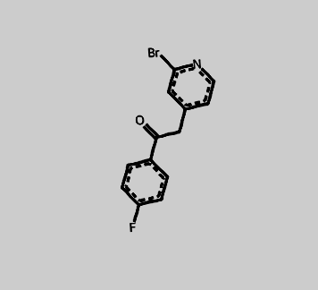 O=C(Cc1ccnc(Br)c1)c1ccc(F)cc1